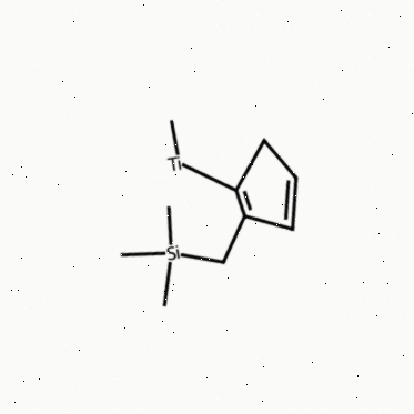 [CH3][Ti][C]1=C(C[Si](C)(C)C)C=CC1